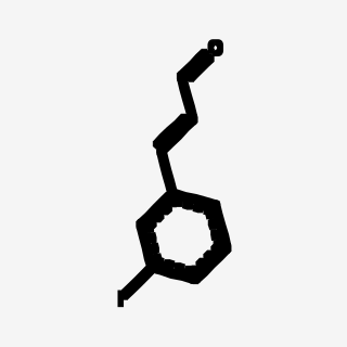 O=CC=Cc1cccc(I)c1